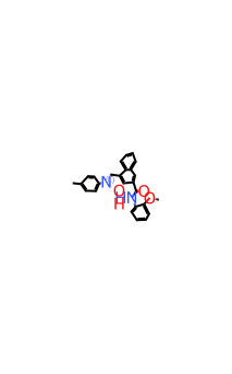 COc1ccccc1NC(=O)c1cc2ccccc2c(/C=N/c2ccc(C)cc2)c1O